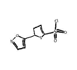 O=S(=O)(Cl)C1=CCC(c2ccno2)S1